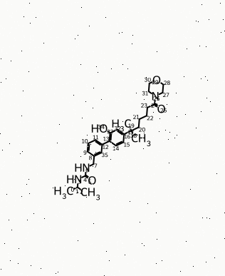 CC(C)NC(=O)NCc1cccc(-c2ccc(C(C)(C)CCCCC(=O)N3CCOCC3)cc2O)c1